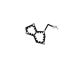 CCn1cncc2ncnc1-2